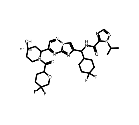 CC(C)n1ncnc1C(=O)NC(c1cn2ncc(C3C[C@](C)(O)CCN3C(=O)C3CCC(F)(F)CO3)nc2n1)C1CCC(F)(F)CC1